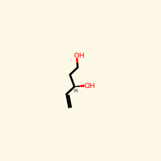 C=C[C@H](O)CCO